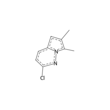 Cc1cc2ccc(Cl)nn2c1C